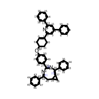 C1=C(c2cc(-c3ccccc3)cc(-c3ccccc3)n2)CCC(Oc2ccc(C3=N/C(c4ccccc4)=C4/CC4C/C(c4ccccc4)=N\3)cc2)C1